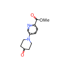 COC(=O)c1ccc(N2CCC(=O)CC2)cn1